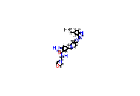 Nc1ccc(CN2CCC3(CC2)CN(c2ncnc4ccc(CC(F)(F)F)cc24)C3)cc1C(=O)NCCN1CCOCC1